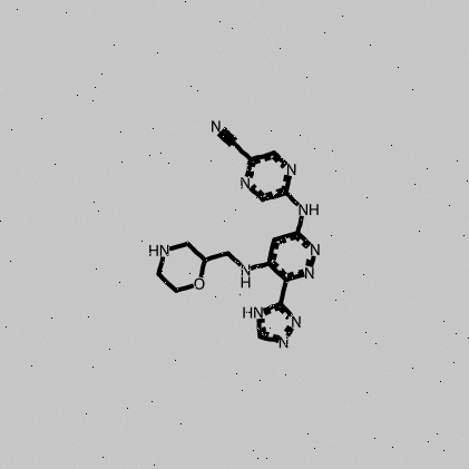 N#Cc1cnc(Nc2cc(NCC3CNCCO3)c(-c3nnc[nH]3)nn2)cn1